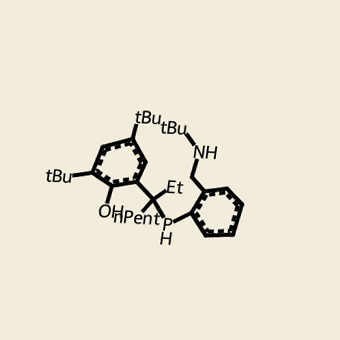 CCCCCC(CC)(Pc1ccccc1CNC(C)(C)C)c1cc(C(C)(C)C)cc(C(C)(C)C)c1O